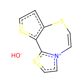 C1=C[n+]2ccsc2-c2sccc2S1.[OH-]